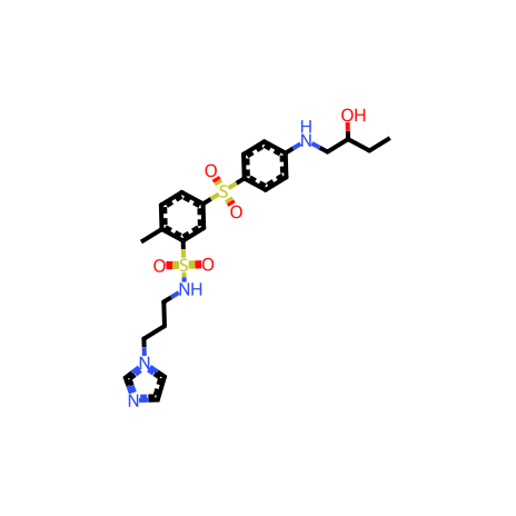 CCC(O)CNc1ccc(S(=O)(=O)c2ccc(C)c(S(=O)(=O)NCCCn3ccnc3)c2)cc1